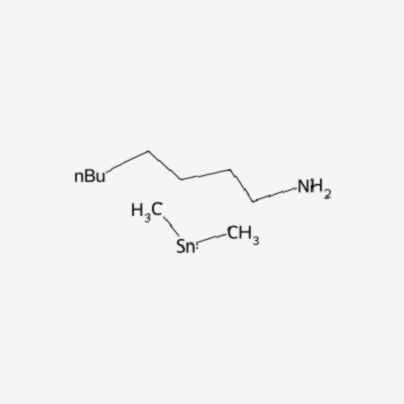 CCCCCCCCN.[CH3][Sn][CH3]